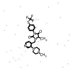 CC1C(=O)N(c2ccc(SC(F)(F)F)cc2)C(=O)N1Cc1ccncc1N1CCN(C)CC1